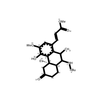 CCCCNC1C(C)c2c(/C=C/C(=O)OC)cc(OC)c(O)c2[C@]2(CC)CC(=O)CCC12